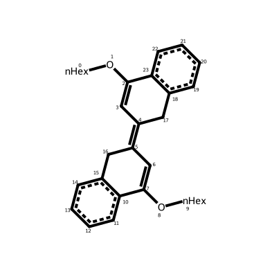 CCCCCCOC1=CC(=C2C=C(OCCCCCC)c3ccccc3C2)Cc2ccccc21